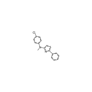 CN(c1ccc(Cl)cc1)c1csc(-c2ccccc2)n1